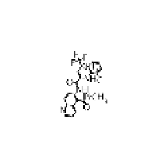 C=C(/C=C(\Nc1ncccc1Cl)C(=O)Nc1ccc2ncccc2c1C(=O)NC)C(F)(F)F